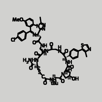 COc1ccc2c(c1)C(c1ccc(Cl)cc1)=N[C@@H](CC(=O)NC[C@H]1NC(=O)CNC(=O)[C@H](c3ccc(-c4scnc4C)cc3)NC(=O)[C@@H]3C[C@@H](O)CN3C(=O)[C@H](C(C)(C)C)NC(=O)CSC[C@H](C(N)=O)NC1=O)c1nnc(C)n1-2